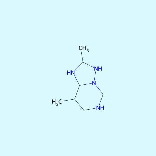 CC1NC2C(C)CNCN2N1